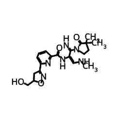 CN/C=C(/NC(=O)c1cccc(C2=NOC(CO)C2)n1)C(=N)N1CCC(C)(C)C1=O